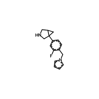 Fc1cc(C23CNCC2C3)ccc1Cn1cccc1